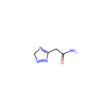 NC(=O)CC1=NCN=N1